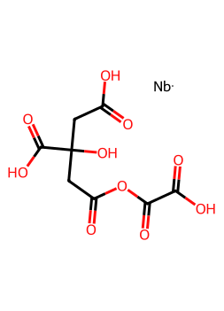 O=C(O)CC(O)(CC(=O)OC(=O)C(=O)O)C(=O)O.[Nb]